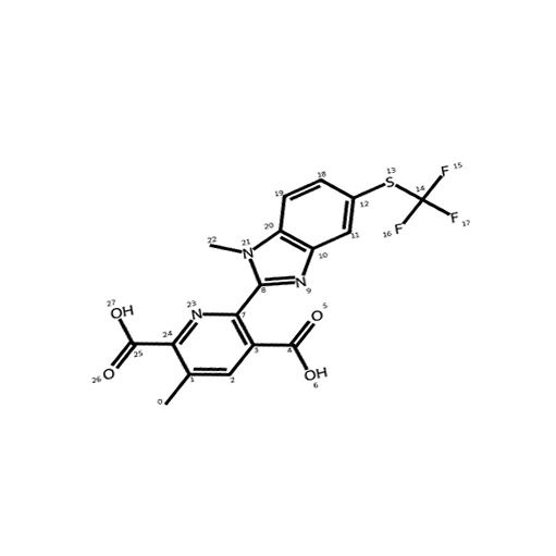 Cc1cc(C(=O)O)c(-c2nc3cc(SC(F)(F)F)ccc3n2C)nc1C(=O)O